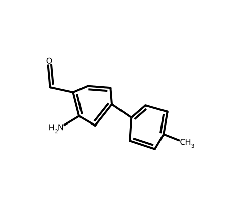 Cc1ccc(-c2ccc(C=O)c(N)c2)cc1